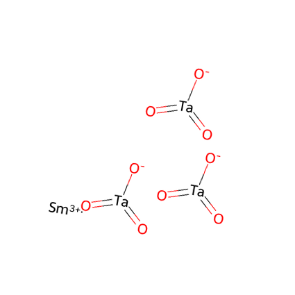 [O]=[Ta](=[O])[O-].[O]=[Ta](=[O])[O-].[O]=[Ta](=[O])[O-].[Sm+3]